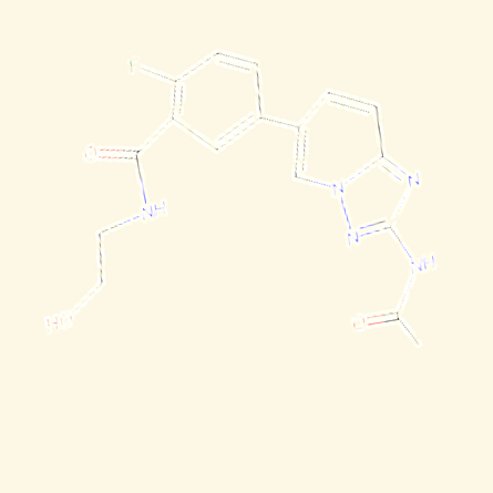 CC(=O)Nc1nc2ccc(-c3ccc(F)c(C(=O)NCCO)c3)cn2n1